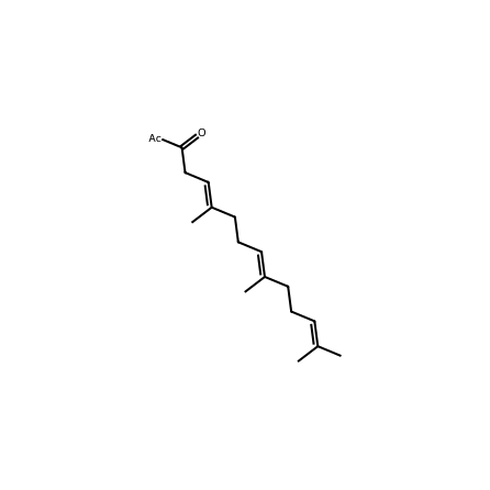 CC(=O)C(=O)C/C=C(\C)CC/C=C(\C)CCC=C(C)C